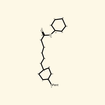 CCCCCC1CCC(CCCCCC(=O)OC2CCCCC2)CC1